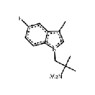 CNC(C)(C)Cn1cc(C)c2cc(F)ccc21